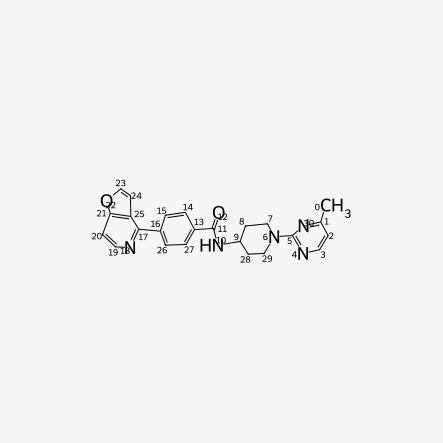 Cc1ccnc(N2CCC(NC(=O)c3ccc(-c4nccc5occc45)cc3)CC2)n1